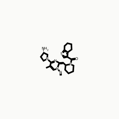 C=NN1C=C(C)C(N2CC[C@H](N)C2)=N/C1=C/C1CCCCN1C(=O)c1csc2c1CCCC2